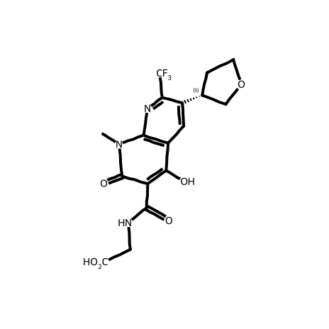 Cn1c(=O)c(C(=O)NCC(=O)O)c(O)c2cc([C@@H]3CCOC3)c(C(F)(F)F)nc21